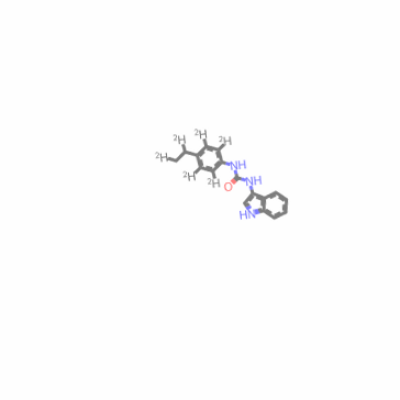 [2H]CC([2H])c1c([2H])c([2H])c(NC(=O)Nc2c[nH]c3ccccc23)c([2H])c1[2H]